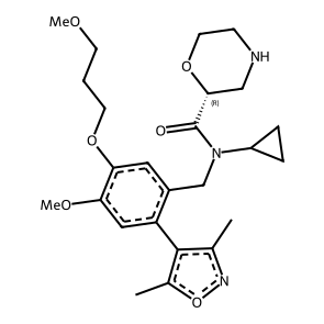 COCCCOc1cc(CN(C(=O)[C@H]2CNCCO2)C2CC2)c(-c2c(C)noc2C)cc1OC